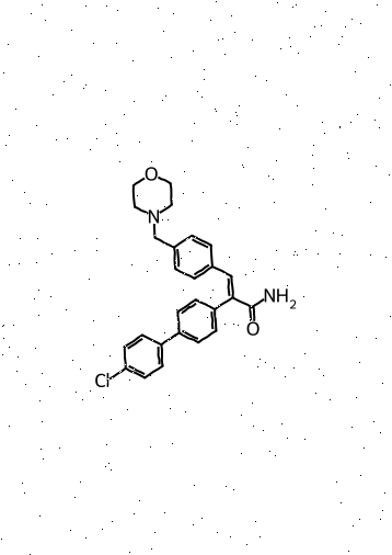 NC(=O)/C(=C/c1ccc(CN2CCOCC2)cc1)c1ccc(-c2ccc(Cl)cc2)cc1